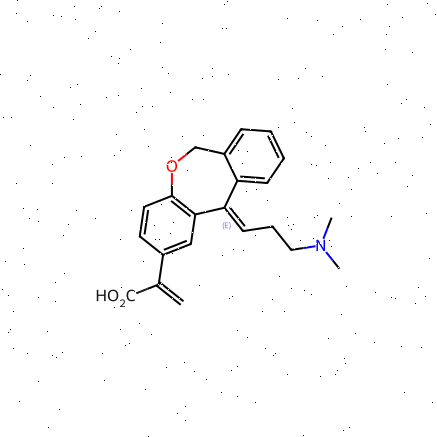 C=C(C(=O)O)c1ccc2c(c1)/C(=C/CCN(C)C)c1ccccc1CO2